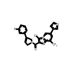 O=C(c1nc2c(C(F)(F)F)cc(-c3ccoc3)cn2c1Cl)N1CC=C(c2cccc(F)c2)C1